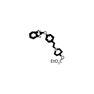 CCOC(=O)OC1CCN(CCc2ccc(Oc3nc4ccccc4s3)cc2)CC1